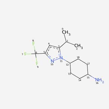 CC(C)c1cc(C(F)(F)F)nn1C1CCC(N)CC1